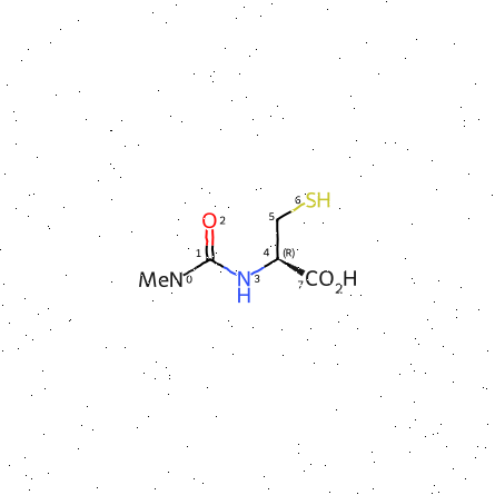 CNC(=O)N[C@@H](CS)C(=O)O